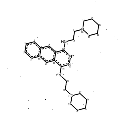 c1ccc2cc3c(NCCN4CCCCC4)nnc(NCCN4CCCCC4)c3cc2c1